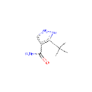 CC(C)(C)c1[nH]ncc1C(N)=O